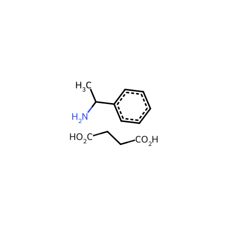 CC(N)c1ccccc1.O=C(O)CCC(=O)O